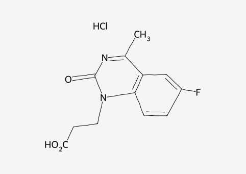 Cc1nc(=O)n(CCC(=O)O)c2ccc(F)cc12.Cl